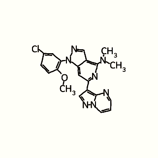 COc1ccc(Cl)cc1-n1ncc2c(N(C)C)nc(-c3cnn4cccnc34)cc21